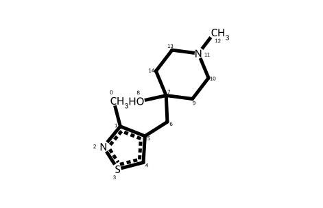 Cc1nscc1CC1(O)CCN(C)CC1